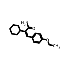 CCOc1ccc(C=C(C(N)=O)C2CCCCC2)cc1